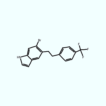 FC(F)(F)c1ccc(CCc2cc3cc[nH]c3cc2Br)cc1